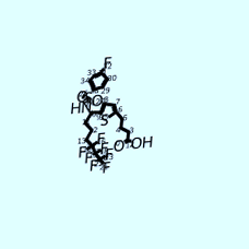 O=C(O)CCCc1ccc(C(CCCC(F)(F)C(F)(F)C(F)(F)F)NS(=O)(=O)c2ccc(F)cc2)s1